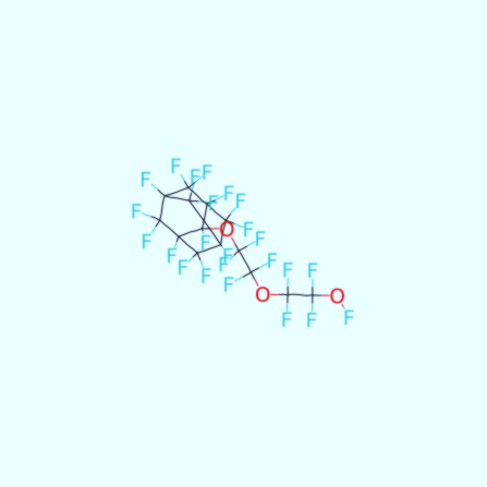 FOC(F)(F)C(F)(F)OC(F)(F)C(F)(F)OC1(F)C2(F)C(F)(F)C3(F)C(F)(F)C(F)(C2(F)F)C(F)(F)C1(F)C3(F)F